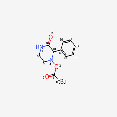 CC(C)(C)C(=O)ON1CCNC(=O)C1c1ccccc1